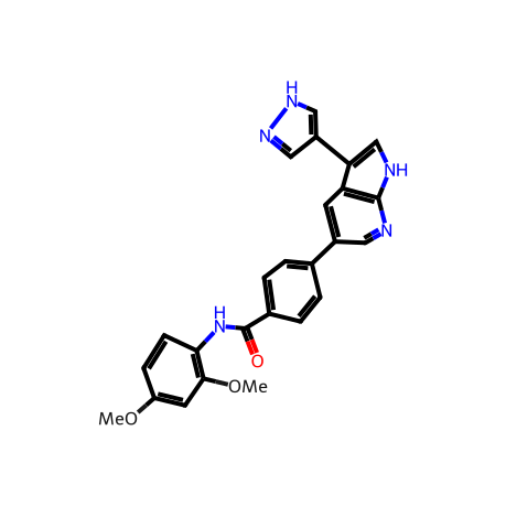 COc1ccc(NC(=O)c2ccc(-c3cnc4[nH]cc(-c5cn[nH]c5)c4c3)cc2)c(OC)c1